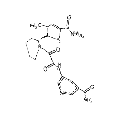 CNC(=O)C1=CC(C)C([C@@H]2CCCCN2C(=O)C(=O)Nc2cncc(C(N)=O)c2)S1